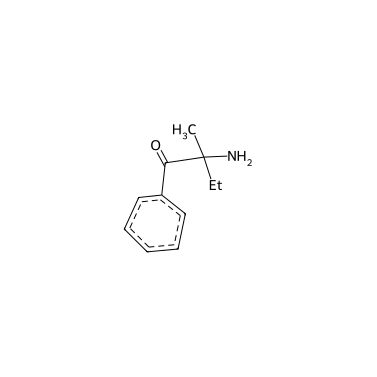 [CH2]CC(C)(N)C(=O)c1ccccc1